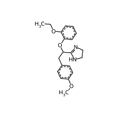 CCOc1ccccc1OC(Cc1ccc(OC)cc1)C1=NCCN1